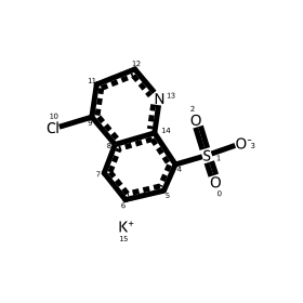 O=S(=O)([O-])c1cccc2c(Cl)ccnc12.[K+]